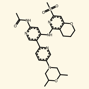 CC(=O)Nc1cc(Nc2nc(S(C)(=O)=O)cc3c2CCCO3)c(-c2ccc(N3CC(C)OC(C)C3)cn2)cn1